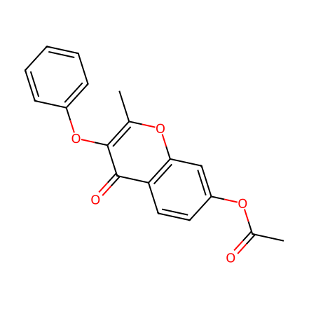 CC(=O)Oc1ccc2c(=O)c(Oc3ccccc3)c(C)oc2c1